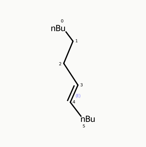 [CH2]CCCCC/C=C/CCCC